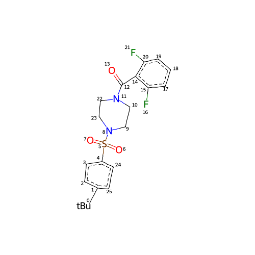 CC(C)(C)c1ccc(S(=O)(=O)N2CCN(C(=O)c3c(F)cccc3F)CC2)cc1